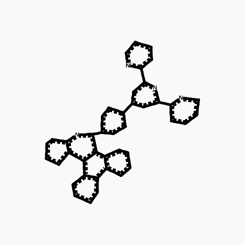 c1ccc(-c2cc(-c3ccc(-c4nc5ccccc5c5c6ccccc6c6ccccc6c45)cc3)cc(-c3ccccn3)n2)nc1